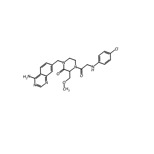 COCC1C(=O)N(Cc2ccc3c(N)ncnc3c2)CCN1C(=O)CNc1ccc(Cl)cc1